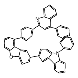 c1ccc(-c2cc(-c3ccc(-c4cccc5oc6ccc(-c7ccc8c(c7)c7ccccc7n8-c7ccccc7)cc6c45)cc3)nc3ccccc23)cc1